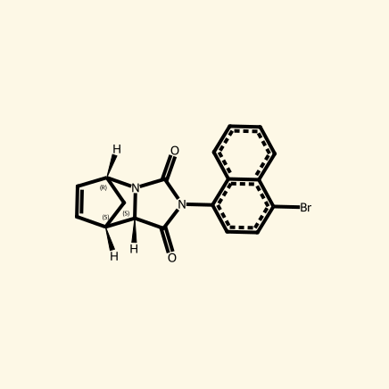 O=C1[C@@H]2[C@@H]3C=C[C@@H](C3)N2C(=O)N1c1ccc(Br)c2ccccc12